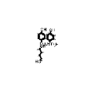 O=C(O)c1ccc(O)cc1.O=C(O)c1ccc(O)cc1.OCCCCO